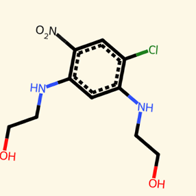 O=[N+]([O-])c1cc(Cl)c(NCCO)cc1NCCO